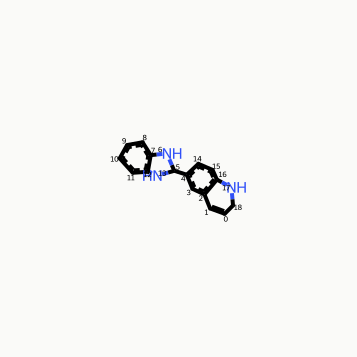 C1=Cc2cc(C3Nc4ccccc4N3)ccc2NC1